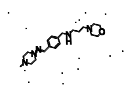 CN1CCN(N=Cc2ccc(CNCCCN3CCOCC3)cc2)CC1